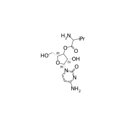 CC(C)C(N)C(=O)OC1[C@@H](CO)O[C@@H](n2ccc(N)nc2=O)[C@H]1O